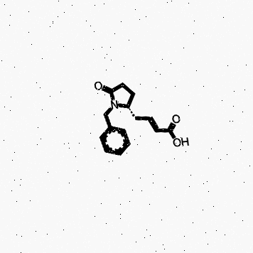 O=C(O)/C=C/C[C@H]1CCC(=O)N1Cc1ccccc1